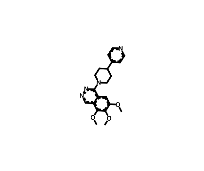 COc1cc2c(N3CCC(c4ccncc4)CC3)nncc2c(OC)c1OC